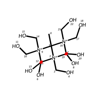 CC([N+](CO)(CO)CO)([N+](CO)(CO)CO)[N+](CO)(CO)CO